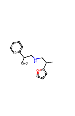 CC(CNCC(C=O)c1cc[c]cc1)c1ccco1